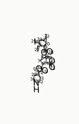 CC(C)(OC(=O)C1C2CC3C(OC(=O)C31)C2OC(=O)c1cc(I)cc(I)c1I)C1CCNCC1